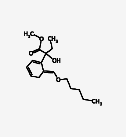 CCCCCOC=C1CC=CC=C1C(O)(CC)C(=O)OC